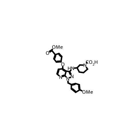 COC(=O)c1ccc(Oc2ccnc3c2c(NC2CCCN(C(=O)O)C2)nn3Cc2ccc(OC)cc2)cc1